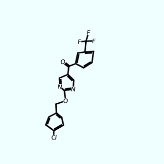 O=C(c1cnc(OCc2ccc(Cl)cc2)nc1)c1cccc(C(F)(F)F)c1